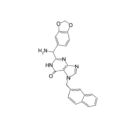 NC(c1ccc2c(c1)OCO2)c1nc2ncn(Cc3ccc4ccccc4c3)c2c(=O)[nH]1